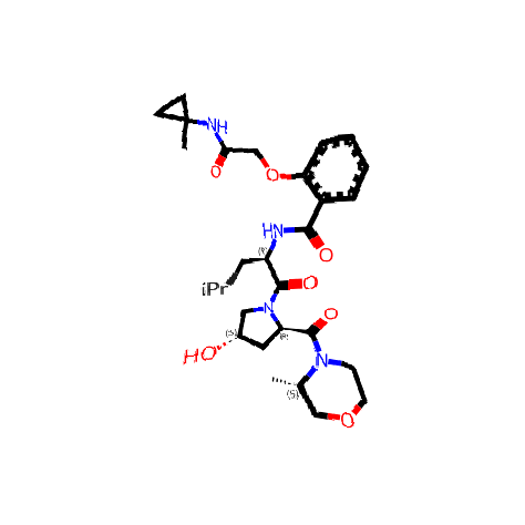 CC(C)C[C@@H](NC(=O)c1ccccc1OCC(=O)NC1(C)CC1)C(=O)N1C[C@@H](O)C[C@@H]1C(=O)N1CCOC[C@@H]1C